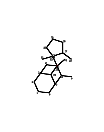 CC1CC2CCCC(C1C)C2C[Si]1(C)CCCC1C